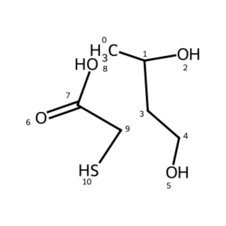 CC(O)CCO.O=C(O)CS